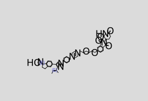 C/C=C(\C)c1nn(-c2ccc(N3CCN(CCOCCOc4ccc5c(c4)C(=O)N(C4CCC(=O)NC4=O)C5=O)CC3)cc2)cc1-c1ccc2c(c1)CC/C2=N\O